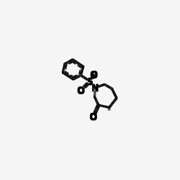 O=C1[CH]CCCN(S(=O)(=O)c2ccccc2)C1